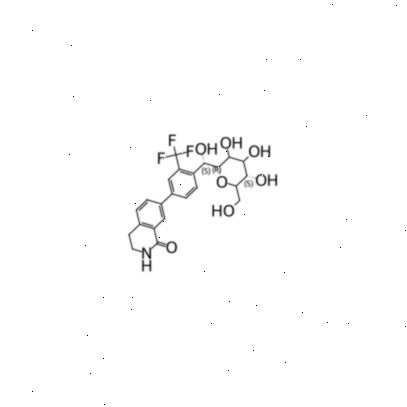 O=C1NCCc2ccc(-c3ccc([C@H](O)[C@H]4OC(CO)[C@@H](O)C(O)C4O)c(C(F)(F)F)c3)cc21